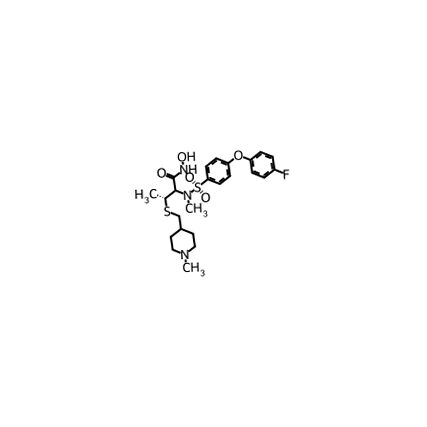 C[C@@H](SCC1CCN(C)CC1)C(C(=O)NO)N(C)S(=O)(=O)c1ccc(Oc2ccc(F)cc2)cc1